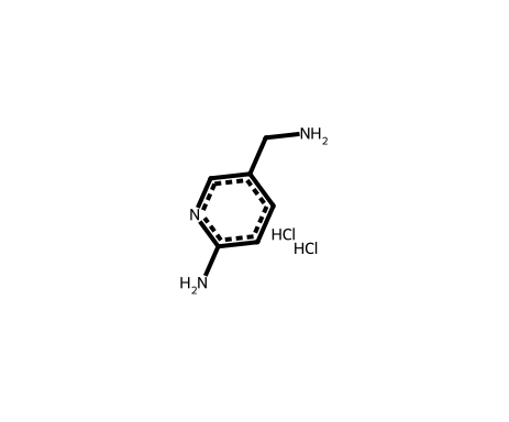 Cl.Cl.NCc1ccc(N)nc1